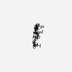 CCS(=O)(=O)N1CC(CC#N)(n2cc(-c3nc(Nc4ccc(C(=O)NCCOCCOc5ccc([C@H]6CCC(=O)NC6=O)cc5)cc4)nc4[nH]ccc34)cn2)C1